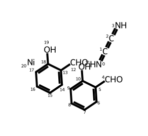 N=C=C=N.O=Cc1ccccc1O.O=Cc1ccccc1O.[Ni]